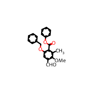 COc1c(C=O)cc(OCc2ccccc2)c(C(=O)Oc2ccccc2)c1C